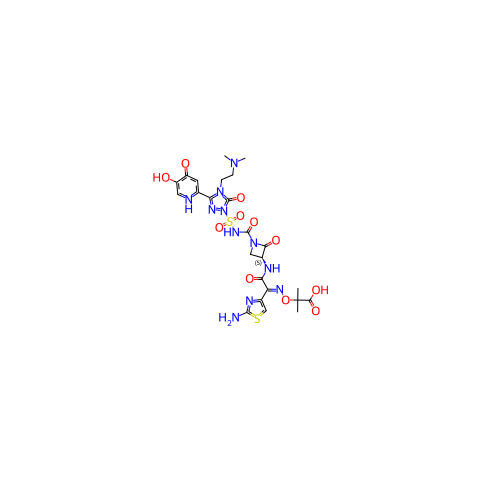 CN(C)CCn1c(-c2cc(=O)c(O)c[nH]2)nn(S(=O)(=O)NC(=O)N2C[C@H](NC(=O)C(=NOC(C)(C)C(=O)O)c3csc(N)n3)C2=O)c1=O